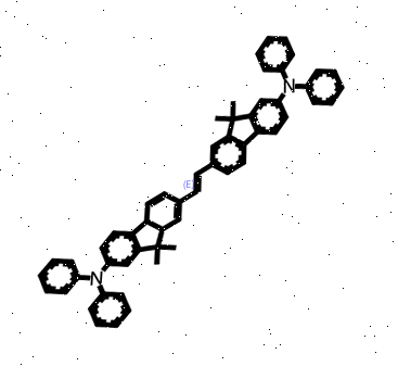 CC1(C)c2cc(/C=C/C3=CC4C(C=C3)c3ccc(N(c5ccccc5)c5ccccc5)cc3C4(C)C)ccc2-c2ccc(N(c3ccccc3)c3ccccc3)cc21